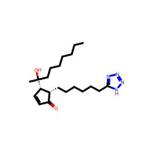 CCCCCCCC(C)(O)[C@H]1C=CC(=O)[C@H]1CCCCCCc1nnn[nH]1